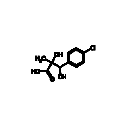 CC(O)(C(=O)O)[C@H](O)c1ccc(Cl)cc1